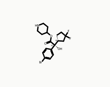 O=C(OC1CCNCC1)[C@](O)(c1ccc(Br)cc1)[C@@H]1CCC(F)(F)C1